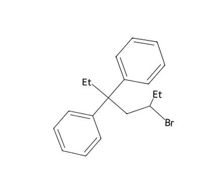 CCC(Br)CC(CC)(c1ccccc1)c1ccccc1